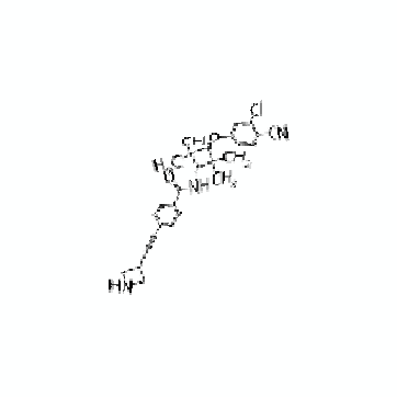 CC1(C)[C@H](NC(=O)c2ccc(C#CC3CNC3)cc2)C(C)(C)[C@H]1Oc1ccc(C#N)c(Cl)c1